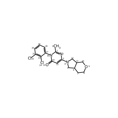 Cc1nc(N2CC3CCOCC3C2)cc(=O)n1-c1cccc(Cl)c1Cl